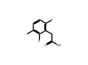 Cc1ccc(F)c(CC(=O)O)c1F